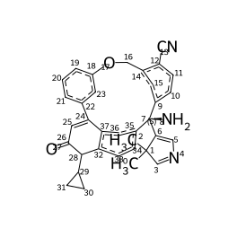 CC1(C)C=NC=C1[C@@]1(N)c2ccc(C#N)c(c2)COc2cccc(c2)C2=CC(=O)C(C3CC3)c3ccc1cc32